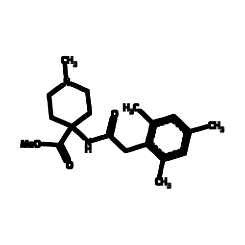 COC(=O)C1(NC(=O)Cc2c(C)cc(C)cc2C)CCN(C)CC1